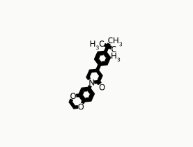 CC(C)(C)c1ccc(C2CCN(c3ccc4c(c3)OCCO4)C(=O)C2)cc1